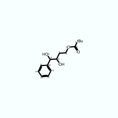 CC(C)(C)C(=O)OCCC(O)C(O)c1ccccc1